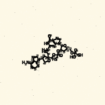 Nc1nc2c(ncn2[C@@H]2O[C@H](COP(=O)(O)S)C[C@@H]2OP(=O)(S)OC[C@]2(CO)CC(n3cnc4c(N)ncnc43)CO2)c(=O)[nH]1